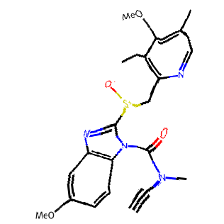 C#CN(C)C(=O)n1c([S+]([O-])Cc2ncc(C)c(OC)c2C)nc2cc(OC)ccc21